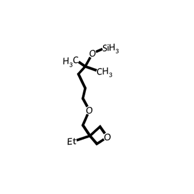 CCC1(COCCCC(C)(C)O[SiH3])COC1